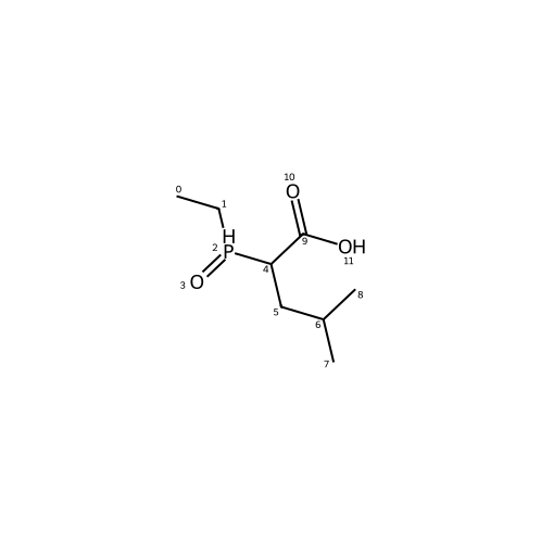 CC[PH](=O)C(CC(C)C)C(=O)O